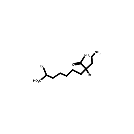 NCCC(Br)(CCCCCC(Br)C(=O)O)C(N)=O